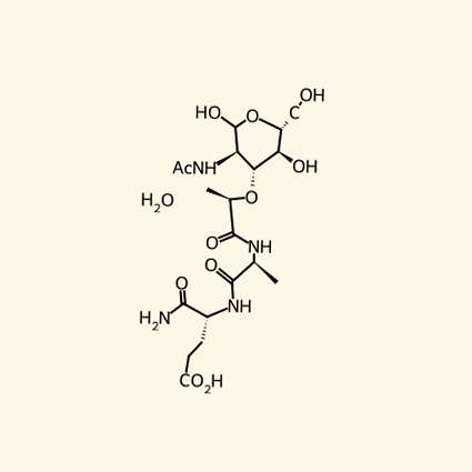 CC(=O)N[C@H]1C(O)O[C@H](CO)[C@@H](O)[C@@H]1O[C@H](C)C(=O)N[C@@H](C)C(=O)N[C@H](CCC(=O)O)C(N)=O.O